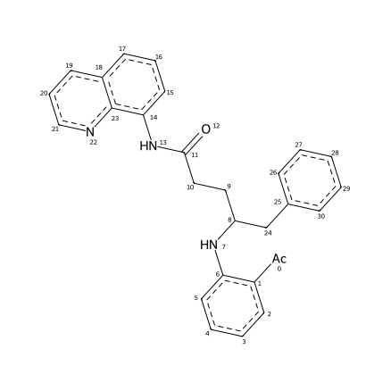 CC(=O)c1ccccc1NC(CCC(=O)Nc1cccc2cccnc12)Cc1ccccc1